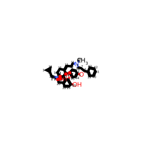 Cc1ccc(OC(CCN(C)CC/C=C2/CC[C@@]3(O)[C@H]4Cc5ccc(O)c6c5[C@@]3(CCN4CC3CC3)[C@H]2O6)c2ccccc2)cc1